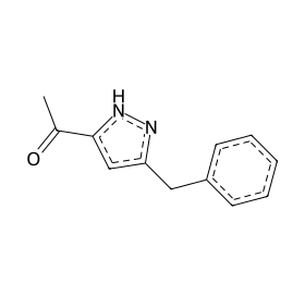 CC(=O)c1cc(Cc2ccccc2)n[nH]1